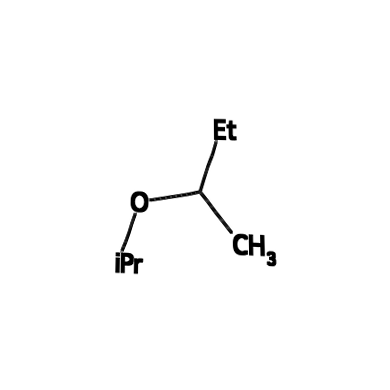 [CH2]C(C)OC(C)CC